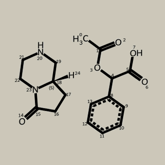 CC(=O)OC(C(=O)O)c1ccccc1.O=C1CC[C@H]2CNCCN12